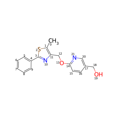 Cc1sc(-c2ccccc2)nc1COc1ccc(CO)cn1